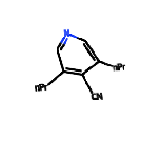 CCCc1cncc(CCC)c1C#N